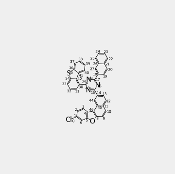 Clc1ccc2c(c1)oc1ccc3ccc(-c4nc(-c5ccc6ccccc6c5)nc(-c5cccc6sc7ccccc7c56)n4)cc3c12